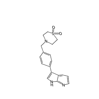 O=S1(=O)CCN(Cc2ccc(-c3c[nH]c4ncccc34)cc2)CC1